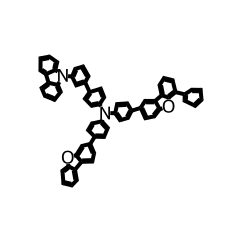 c1ccc(-c2cccc3c2oc2ccc(-c4ccc(N(c5ccc(-c6cccc(-n7c8ccccc8c8ccccc87)c6)cc5)c5ccc(-c6ccc7c(c6)oc6ccccc67)cc5)cc4)cc23)cc1